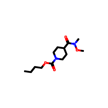 CCCCOC(=O)N1CCC(C(=O)N(C)OC)CC1